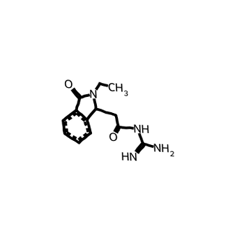 CCN1C(=O)c2ccccc2C1CC(=O)NC(=N)N